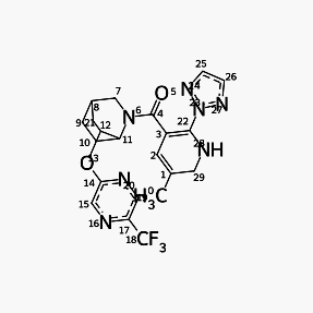 CC1=CC(C(=O)N2CC3CCC2C(Oc2cnc(C(F)(F)F)cn2)C3)=C(n2nccn2)NC1